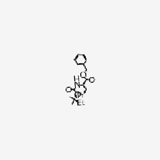 CCC(C)(C)OC(=O)NC(CC(C)C)C(=O)OCc1ccccc1